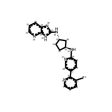 Fc1cccnc1-c1ccc(N[C@H]2CC[C@H](Nc3nc4cccnc4[nH]3)C2)nc1